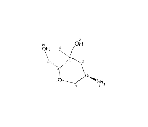 CC1(O)C[C@@H](N)CO[C@@H]1CO